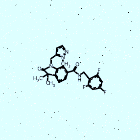 Cn1nccc1CN1C(=O)C(C)(C)c2ccc(C(=O)NCc3c(F)cc(F)cc3F)cc21